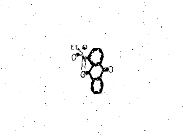 CCS(=O)(=O)Nc1cccc2c1C(=O)c1ccccc1C2=O